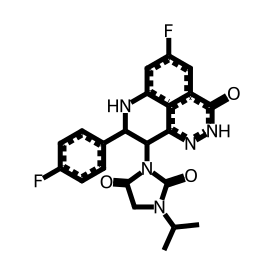 CC(C)N1CC(=O)N(C2c3n[nH]c(=O)c4cc(F)cc(c34)NC2c2ccc(F)cc2)C1=O